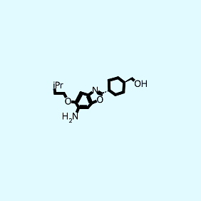 CC(C)CCOc1cc2nc([C@H]3CC[C@H](CO)CC3)oc2cc1N